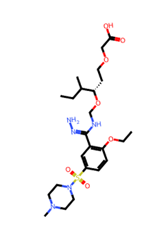 CCOc1ccc(S(=O)(=O)N2CCN(C)CC2)cc1/C(=N/N)NCO[C@@H](CCOCC(=O)O)C(C)CC